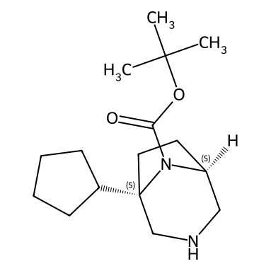 CC(C)(C)OC(=O)N1[C@H]2CC[C@]1(C1CCCC1)CNC2